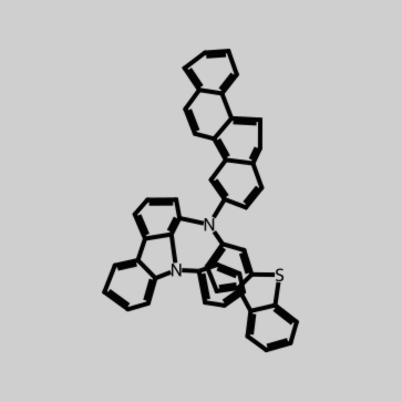 c1ccc(-n2c3ccccc3c3cccc(N(c4ccc5c(c4)sc4ccccc45)c4ccc5ccc6c7ccccc7ccc6c5c4)c32)cc1